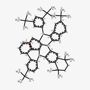 Cc1cc2c3c(c1)N(c1cc(C(C)(C)C)cc(C(C)(C)C)c1)c1c(oc4ccc(C(C)(C)C)cc14)B3c1cc3c(cc1N2c1ccc(C(C)(C)C)cc1-c1ccccc1)C(C)(C)CCC3(C)C